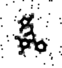 O=C(C[C@@H](c1ccccc1)c1cc(Cl)cc(Cl)c1)ON1C(=O)CCC1=O